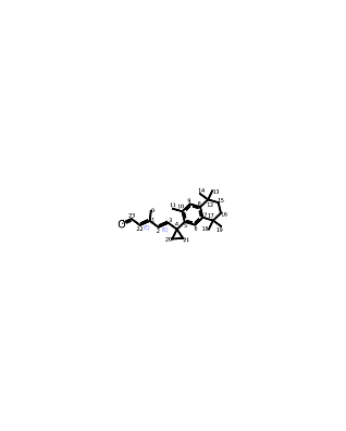 CC(/C=C/C1(c2cc3c(cc2C)C(C)(C)CCC3(C)C)CC1)=C\C=O